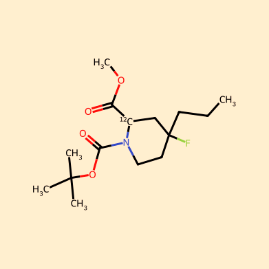 CCCC1(F)CCN(C(=O)OC(C)(C)C)[12CH](C(=O)OC)C1